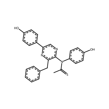 CC(=S)N(c1ccc(O)cc1)c1ncc(-c2ccc(O)cc2)nc1Cc1ccccc1